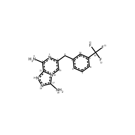 Nc1nc(Cc2cccc(C(F)(F)F)c2)cn2c(N)nnc12